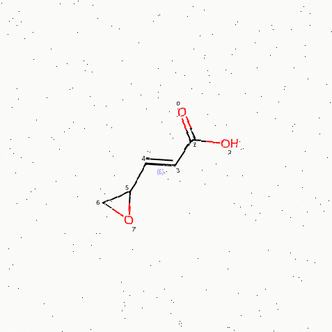 O=C(O)/C=C/C1CO1